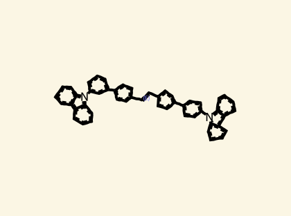 C(=C\c1ccc(-c2cccc(-n3c4ccccc4c4ccccc43)c2)cc1)/c1ccc(-c2ccc(-n3c4ccccc4c4ccccc43)cc2)cc1